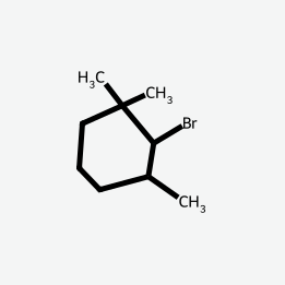 CC1CCCC(C)(C)C1Br